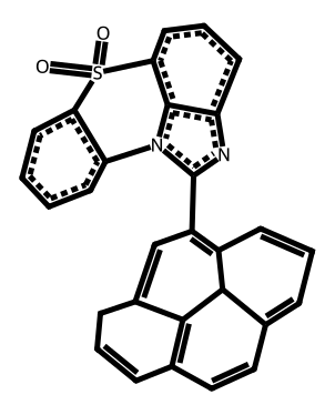 O=S1(=O)c2ccccc2-n2c(C3=C4C=CC=C5C=CC6=C(C(=C3)CC=C6)C54)nc3cccc1c32